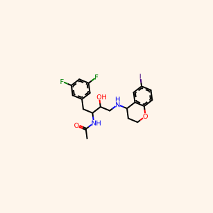 CC(=O)NC(Cc1cc(F)cc(F)c1)C(O)CNC1CCOc2ccc(I)cc21